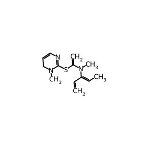 C=C/C(=C/C)N(C)C(=C)SC1=NC=CCN1C